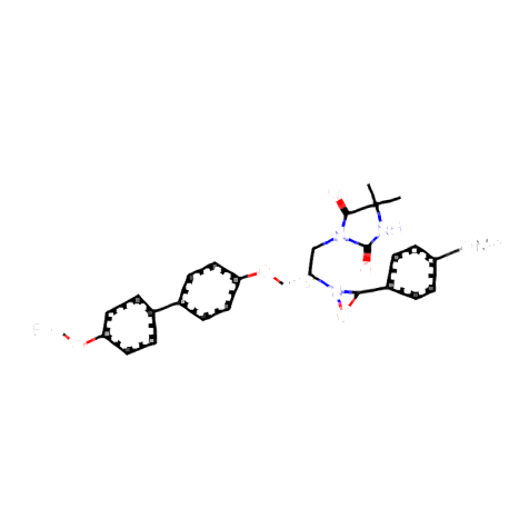 COc1ccc(C2ON2[C@H](COc2ccc(-c3ccc(OC(F)(F)F)cc3)cc2)CN2C(=O)NC(C)(C)C2=O)cc1